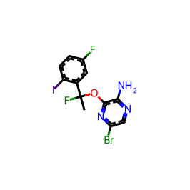 CC(F)(Oc1nc(Br)cnc1N)c1cc(F)ccc1I